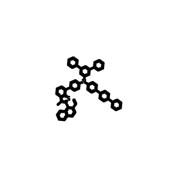 C=Cc1ccc2ccccc2c1-c1sc2c(-c3ccc(N(c4ccc(-c5ccc(-c6ccccc6)cc5)cc4)c4cc(-c5ccccc5)cc(-c5ccccc5)c4)cc3)cccc2c1C